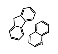 c1ccc2c(c1)Cc1ccccc1-2.c1ccc2ncccc2c1